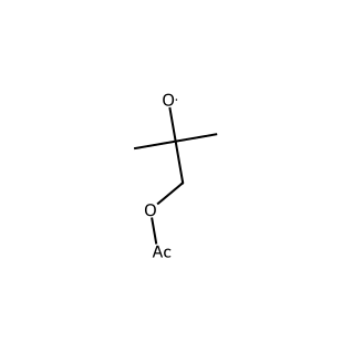 CC(=O)OCC(C)(C)[O]